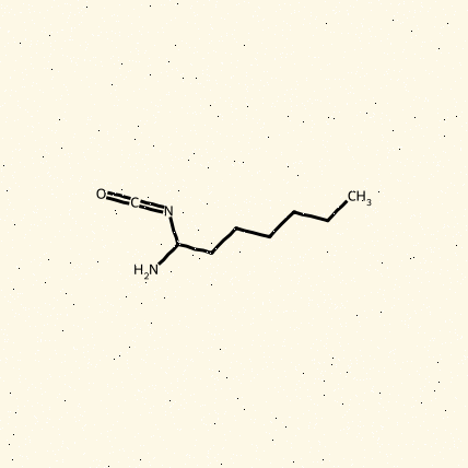 CCCCCCC(N)N=C=O